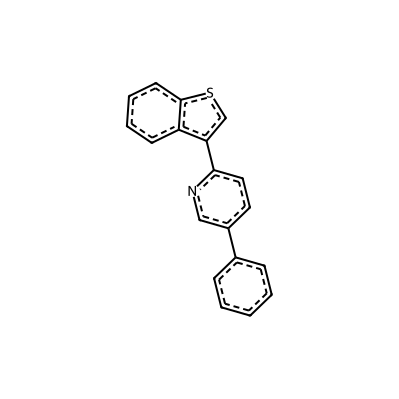 c1ccc(-c2ccc(-c3csc4ccccc34)nc2)cc1